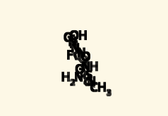 Cc1ccc2c(N)c(C(=O)N[C@H]3COc4nc(N5CCN(C(=O)O)CC5)c(F)cc4C3)sc2n1